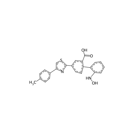 Cc1ccc(-c2csc(-c3ccc(-c4ccccc4NO)c(C(=O)O)c3)n2)cc1